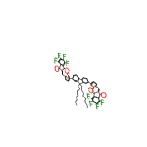 CCCCCCCCC1(CCCCCCCC)c2cc(-c3ccc(C=C4C(=O)c5c(F)c(F)c(F)c(F)c5C4=O)s3)ccc2-c2ccc(-c3ccc(C=C4C(=O)c5c(F)c(F)c(F)c(F)c5C4=O)s3)cc21